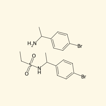 CC(N)c1ccc(Br)cc1.CCS(=O)(=O)NC(C)c1ccc(Br)cc1